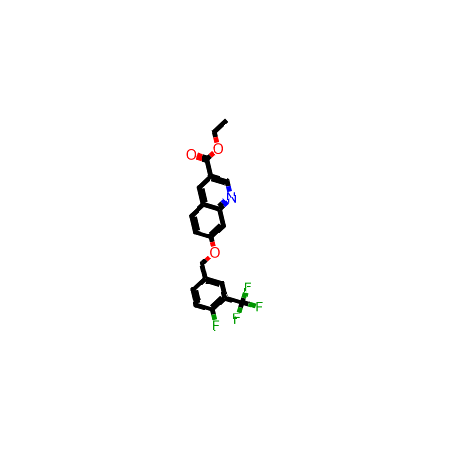 CCOC(=O)c1cnc2cc(OCc3ccc(F)c(C(F)(F)F)c3)ccc2c1